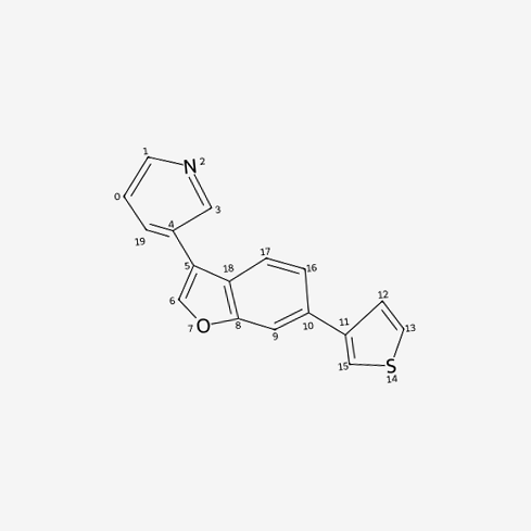 c1cncc(-c2coc3cc(-c4ccsc4)ccc23)c1